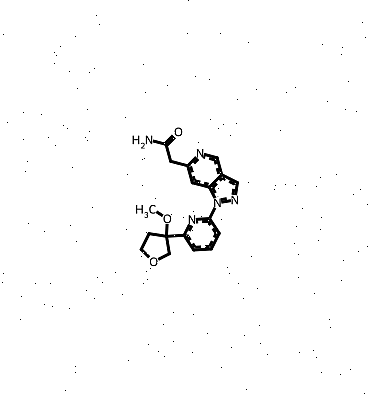 COC1(c2cccc(-n3ncc4cnc(CC(N)=O)cc43)n2)CCOC1